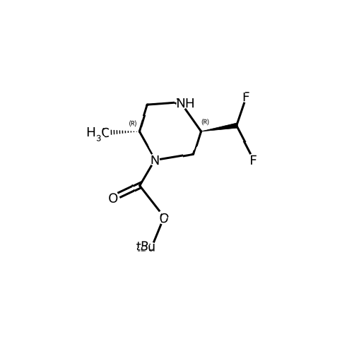 C[C@@H]1CN[C@@H](C(F)F)CN1C(=O)OC(C)(C)C